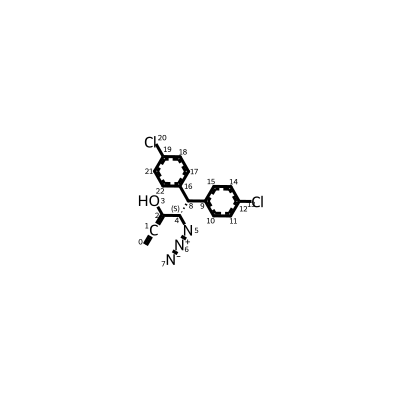 C=C=C(O)[C@@H](N=[N+]=[N-])C(c1ccc(Cl)cc1)c1ccc(Cl)cc1